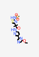 CCOc1cncc(-c2ccc(NC(=O)C(C)(C)c3csc(NS(C)(=O)=O)n3)nc2)n1